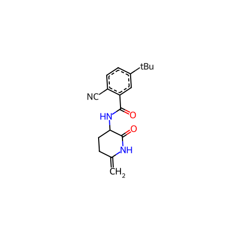 C=C1CCC(NC(=O)c2cc(C(C)(C)C)ccc2C#N)C(=O)N1